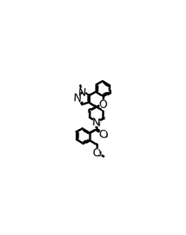 COCc1ccccc1C(=O)N1CCC2(CC1)Oc1ccccc1-c1c2cnn1C